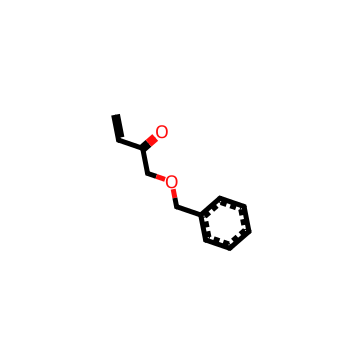 C=CC(=O)COCc1ccccc1